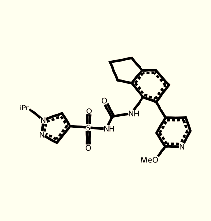 COc1cc(-c2ccc3c(c2NC(=O)NS(=O)(=O)c2cnn(C(C)C)c2)CCC3)ccn1